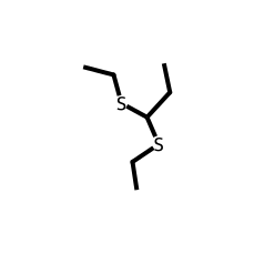 CCSC(CC)SCC